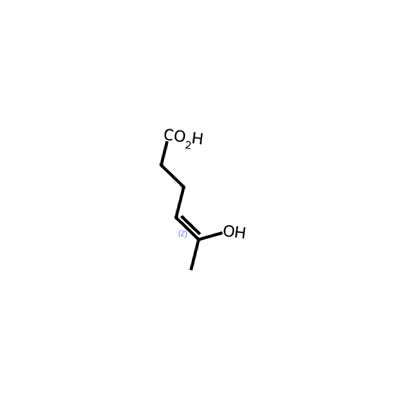 C/C(O)=C/CCC(=O)O